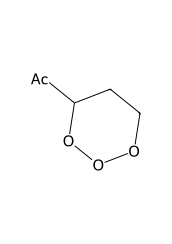 CC(=O)C1CCOOO1